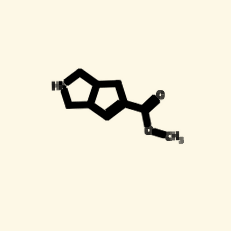 COC(=O)C1=CC2CNCC2C1